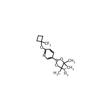 CC1(C)OB(c2ccc(OC3(C(F)(F)F)CCC3)nc2)OC1(C)C